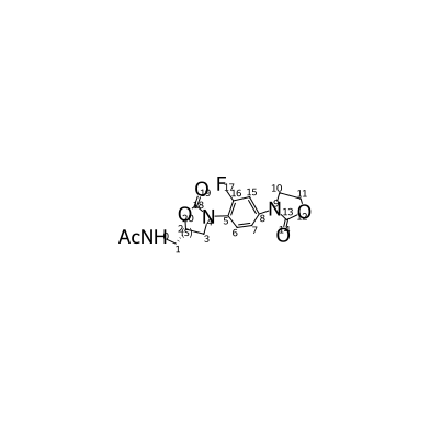 CC(=O)NC[C@H]1CN(c2ccc(N3CCOC3=O)cc2F)C(=O)O1